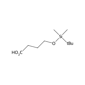 CC(C)(C)[Si](C)(C)OCCCC(=O)O